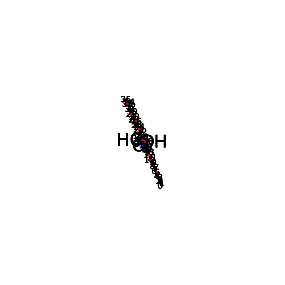 CCCCCCCCCCCCCCCC/C=C(\O)C(CCCCCCCCCCCCCCCC)C(=O)O